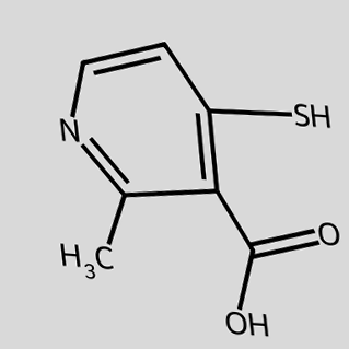 Cc1nccc(S)c1C(=O)O